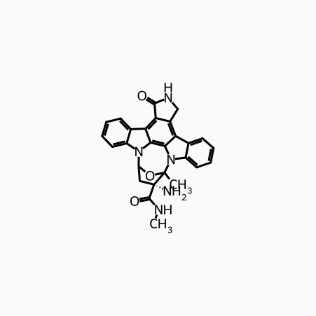 CNC(=O)[C@@]1(N)CC2OC1(C)n1c3ccccc3c3c4c(c5c6ccccc6n2c5c31)C(=O)NC4